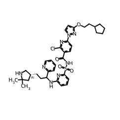 CC1(C)C[C@@H](CCC(Nc2cccc(S(=O)(=O)NC(=O)c3ccc(-n4ccc(OCCC5CCCC5)n4)nc3Cl)n2)c2ccccn2)CN1